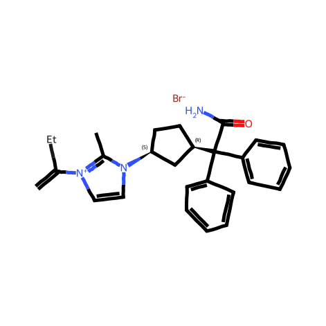 C=C(CC)[n+]1ccn([C@H]2CC[C@@H](C(C(N)=O)(c3ccccc3)c3ccccc3)C2)c1C.[Br-]